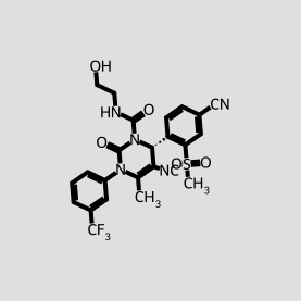 [C-]#[N+]C1=C(C)N(c2cccc(C(F)(F)F)c2)C(=O)N(C(=O)NCCO)[C@@H]1c1ccc(C#N)cc1S(C)(=O)=O